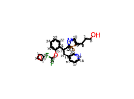 C1C2CC1O2.OCCCc1cnc(C(Cc2cccnc2)c2ccccc2OC(F)F)s1